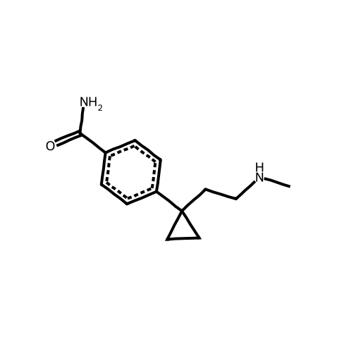 CNCCC1(c2ccc(C(N)=O)cc2)CC1